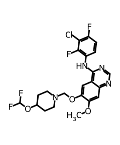 COc1cc2ncnc(Nc3ccc(F)c(Cl)c3F)c2cc1OCN1CCC(OC(F)F)CC1